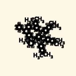 CC1(C)Cc2ccc(N3c4cc5c(cc4B4c6cc7c(cc6N(c6ccc8c(c6)CC(C)(C)C8)c6cc(N8c9ccc(CC(c%10ccccc%10)c%10ccccc%10)cc9C9(C)CCCCC89C)cc3c64)CC(C)(C)C7)CC(C)(C)C5)cc2C1